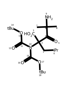 CC(C)CC(C(=O)O)(C(=O)C(C)(C)N)N(C(=O)OC(C)(C)C)C(=O)OC(C)(C)C